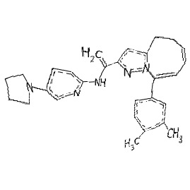 C=C(Nc1ccc(N2CCCC2)cn1)c1cc2n(n1)/C(c1ccc(C)c(C)c1)=C\C=C/CC2